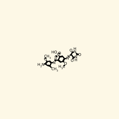 COc1cc(N=Nc2cc(OC)c(N=NC3C(=O)NC(=O)NC3=O)cc2S(=O)(=O)O)c(C)cc1N